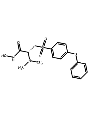 CN(C)[C@@H](CS(=O)(=O)c1ccc(Oc2ccccc2)cc1)C(=O)NO